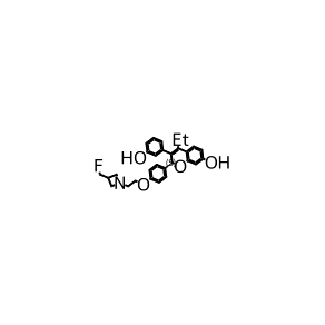 CCC1=C(c2cccc(O)c2)[C@H](c2ccc(OCCN3CC(CF)C3)cc2)Oc2cc(O)ccc21